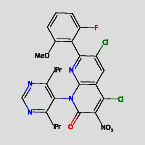 COc1cccc(F)c1-c1nc2c(cc1Cl)c(Cl)c([N+](=O)[O-])c(=O)n2-c1c(C(C)C)ncnc1C(C)C